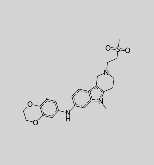 Cn1c2c(c3ccc(Nc4ccc5c(c4)OCCO5)cc31)CN(CCS(C)(=O)=O)CC2